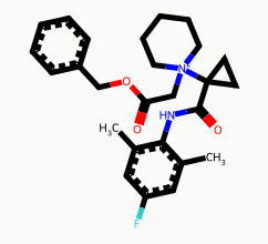 Cc1cc(F)cc(C)c1NC(=O)C1([N+]2(CC(=O)OCc3ccccc3)CCCCC2)CC1